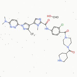 CN(C)c1ccc(-n2cc(-c3cnc(C(=O)Nc4ccc(C(=O)N5CCN(C(=O)C6CCNCC6)CC5)c(Cl)c4)n3C)c(C(F)(F)F)n2)nn1.O=CO